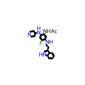 CC(=O)Nc1cc(NCCC2=CNC3C=CC=CC23)c(F)cc1Nc1ccncc1